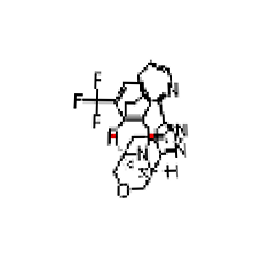 O=C(c1cccc(C(F)(F)F)c1F)N1[C@H]2COC[C@@H]1c1nnc(-c3ncccc3F)n1C2